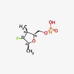 C[C@@H]1[C@H](F)[C@H](C)O[C@@H]1CO[PH](=O)O